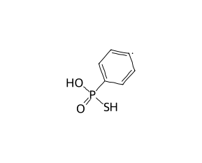 O=P(O)(S)c1cc[c]cc1